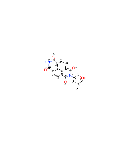 CC(C)CC(CO)N1C(=O)c2ccc3c4c(ccc(c24)C1=O)C(=O)NC3=O